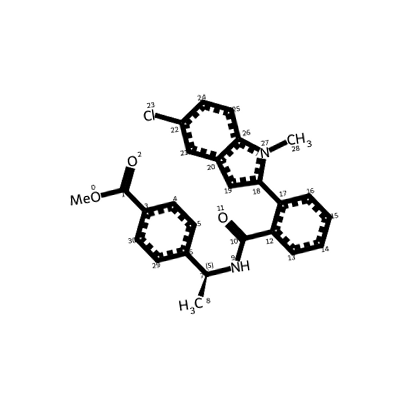 COC(=O)c1ccc([C@H](C)NC(=O)c2ccccc2-c2cc3cc(Cl)ccc3n2C)cc1